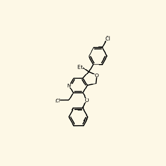 CCC1(c2ccc(Cl)cc2)OCc2c1cnc(CCl)c2Oc1ccccc1